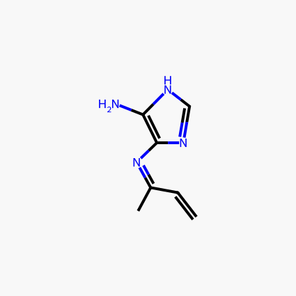 C=C/C(C)=N\c1nc[nH]c1N